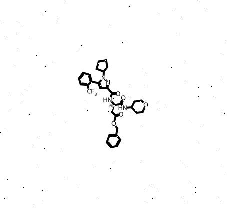 O=C(C[C@@H](NC(=O)c1cc(-c2ccccc2C(F)(F)F)n(C2CCCC2)n1)C(=O)NC1CCOCC1)OCc1ccccc1